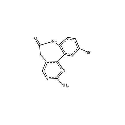 Nc1ncc2c(n1)-c1cc(Br)ccc1NC(=O)C2